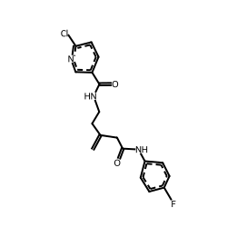 C=C(CCNC(=O)c1ccc(Cl)nc1)CC(=O)Nc1ccc(F)cc1